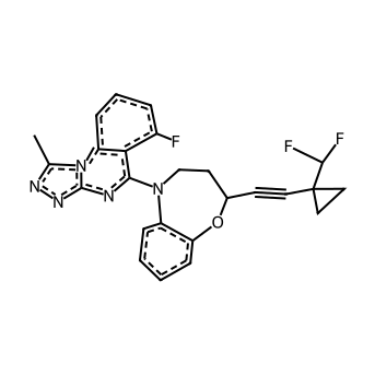 Cc1nnc2nc(N3CCC(C#CC4(C(F)F)CC4)Oc4ccccc43)c3c(F)cccc3n12